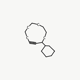 C1#CC(C2CCCCC2)CCCCCCCC1